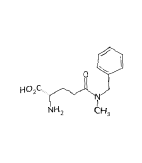 CN(Cc1ccccc1)C(=O)CC[C@H](N)C(=O)O